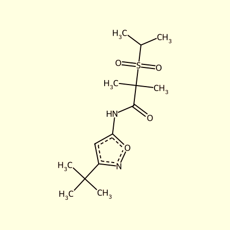 CC(C)S(=O)(=O)C(C)(C)C(=O)Nc1cc(C(C)(C)C)no1